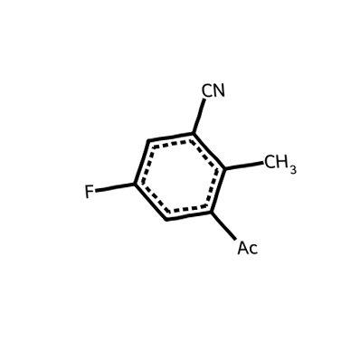 CC(=O)c1cc(F)cc(C#N)c1C